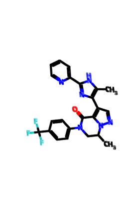 Cc1[nH]c(-c2ccccn2)nc1-c1cnn2c1C(=O)N(c1ccc(C(F)(F)F)cc1)CC2C